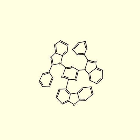 c1ccc(-c2nc3ccccc3n2-c2nc(-c3cccc4oc5ccccc5c34)nc(-n3c(-c4ccccc4)nc4ccccc43)n2)cc1